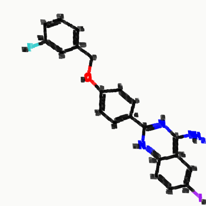 Nc1nc(-c2ccc(OCc3cccc(F)c3)cc2)nc2ccc(I)cc12